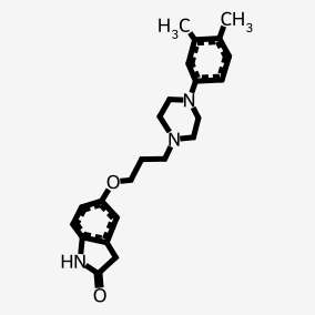 Cc1ccc(N2CCN(CCCOc3ccc4c(c3)CC(=O)N4)CC2)cc1C